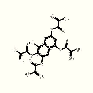 C=C(C)C(=O)Oc1cc(OC(=O)C(=C)C)c2cc(OC(=O)C(=C)C)c(OC(=O)C(=C)C)c(C)c2c1